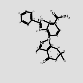 Cc1nn(-c2ccc(C(N)=O)c3[nH]c(-c4ccccc4)nc23)c2c1C(=O)CC(C)(C)C2